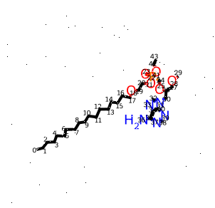 CCCCCCCCCCCCCCCCCCOCCOP(=O)(COC(COC)Cn1cnc2c(N)ncnc21)OCC